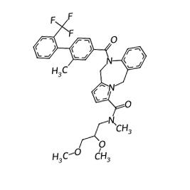 COCC(CN(C)C(=O)c1ccc2n1Cc1ccccc1N(C(=O)c1ccc(-c3ccccc3C(F)(F)F)c(C)c1)C2)OC